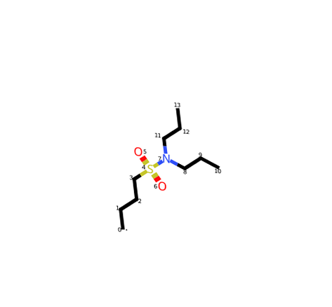 [CH2]CCCS(=O)(=O)N(CCC)CCC